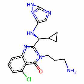 NCCCn1c([C@@H](Nc2cnc3n2N3)C2CC2)nc2cccc(Cl)c2c1=O